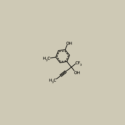 CC#CC(O)(c1cc(C)cc(O)c1)C(F)(F)F